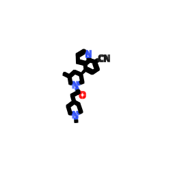 CC1C[C@@H](c2ccc(C#N)c3ncccc23)CN(C(=O)CC2CCN(C)CC2)C1